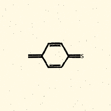 C=C1C=CC(=S)C=C1